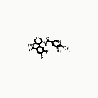 CN(C(=O)c1cnc(C(F)(F)F)c(Br)c1)[C@H]1COCc2[nH]c(=O)c3cc(F)c(F)cc3c21